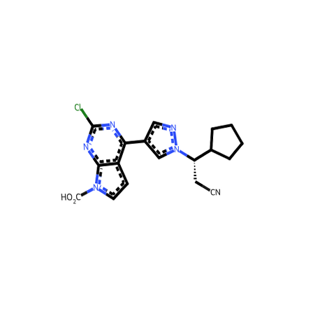 N#CC[C@@H](C1CCCC1)n1cc(-c2nc(Cl)nc3c2ccn3C(=O)O)cn1